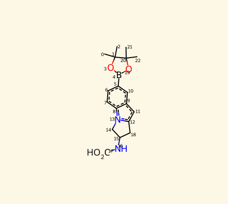 CC1(C)OB(c2ccc3c(c2)cc2n3CC(NC(=O)O)C2)OC1(C)C